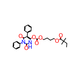 CCC(C)(C)C(=O)OCCCCOC(=O)Oc1[nH]c(=O)n(-c2ccccc2)c(=O)c1-c1ccccc1